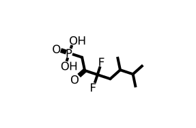 CC(C)C(C)CC(F)(F)C(=O)CP(=O)(O)O